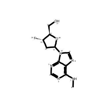 CNc1ncnc2c1ncn2C1C[C@H](F)[C@@H](CO)O1